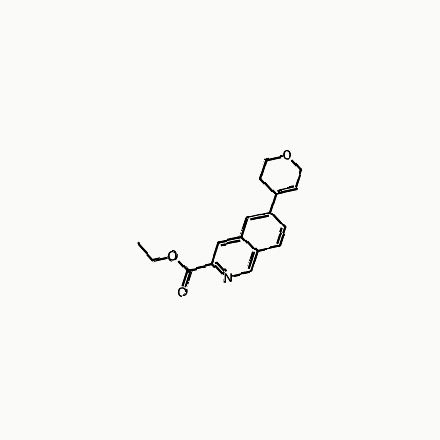 CCOC(=O)c1cc2cc(C3=CCOCC3)ccc2cn1